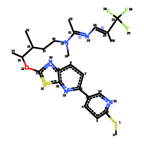 CSc1ccc(-c2ccc3nc(OC(C)C(C)CCN(C)/C(C)=N/C=C(\C)C(F)(F)F)sc3n2)cn1